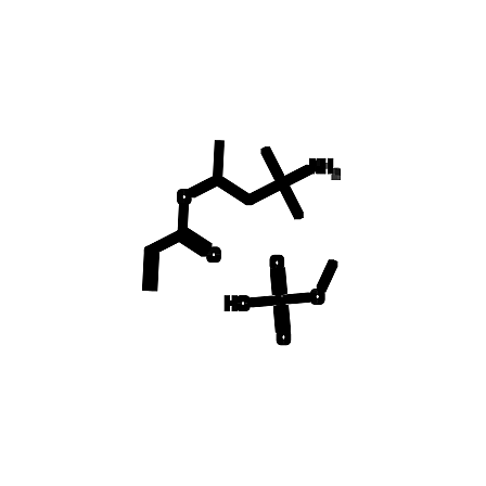 C=CC(=O)OC(C)CC(C)(C)N.COS(=O)(=O)O